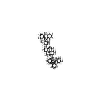 Fc1ccccc1N(c1ccc(-c2ccc3ccc4c(/C=C/[Si](c5ccccc5)(c5ccccc5)c5ccccc5)ccc5ccc2c3c54)cc1)c1ccccc1F